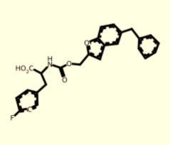 O=C(NC(Cc1ccc(F)cc1)C(=O)O)OCc1cc2cc(Cc3ccccc3)ccc2o1